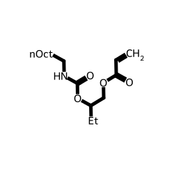 C=CC(=O)OCC(CC)OC(=O)NCCCCCCCCC